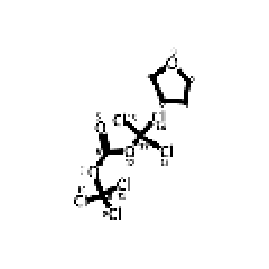 C1CCOC1.O=C(OC(Cl)(Cl)Cl)OC(Cl)(Cl)Cl